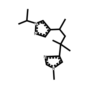 CC(CC(C)(C)c1cn(C)cn1)c1cnn(C(C)C)c1